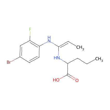 CC=C(Nc1ccc(Br)cc1F)NC(CCC)C(=O)O